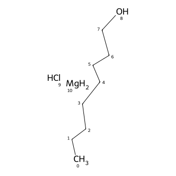 CCCCCCCCO.Cl.[MgH2]